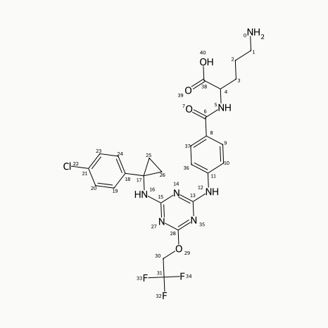 NCCCC(NC(=O)c1ccc(Nc2nc(NC3(c4ccc(Cl)cc4)CC3)nc(OCC(F)(F)F)n2)cc1)C(=O)O